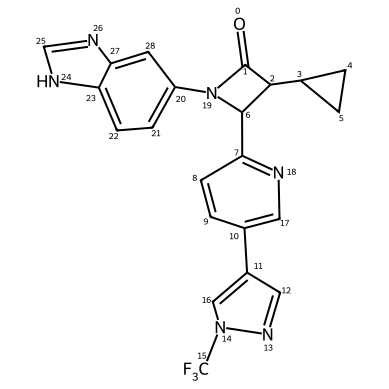 O=C1C(C2CC2)C(c2ccc(-c3cnn(C(F)(F)F)c3)cn2)N1c1ccc2[nH]cnc2c1